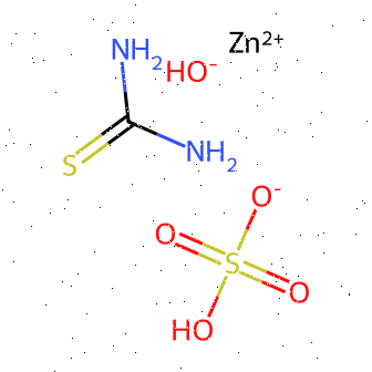 NC(N)=S.O=S(=O)([O-])O.[OH-].[Zn+2]